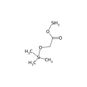 C[Si](C)(C)OCC(=O)O[SiH3]